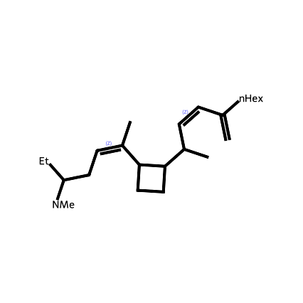 C=C(/C=C\C(C)C1CCC1/C(C)=C\CC(CC)NC)CCCCCC